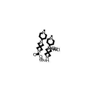 CN1CCC(N2CC3(CN(C(=O)OC(C)(C)C)C3)C2)CC1.CN1CCC(N2CC3(CNC3)C2)CC1.Cl.Cl.Cl